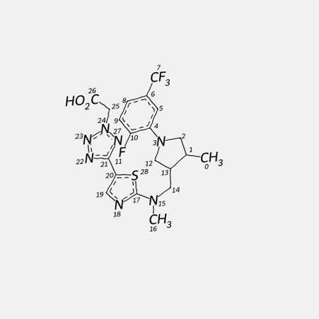 CC1CN(c2cc(C(F)(F)F)ccc2F)CC1CN(C)c1ncc(-c2nnn(CC(=O)O)n2)s1